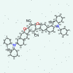 CC(C)(C)c1ccccc1N(c1ccccc1)c1ccc2cc3c(cc2c1)oc1c(C#N)c2oc4cc5cc(N(c6ccccc6)c6ccccc6C(C)(C)C)ccc5cc4c2c(C#N)c13